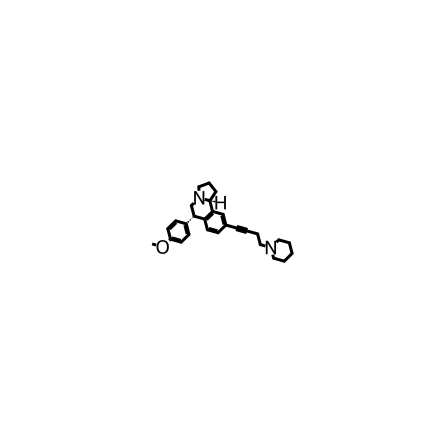 COc1ccc([C@@H]2CN3CCC[C@H]3c3cc(C#CCCN4CCCCC4)ccc32)cc1